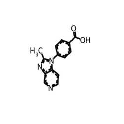 Cc1nc2cnccc2n1-c1ccc(C(=O)O)cc1